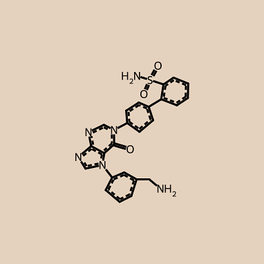 NCc1cccc(-n2cnc3ncn(-c4ccc(-c5ccccc5S(N)(=O)=O)cc4)c(=O)c32)c1